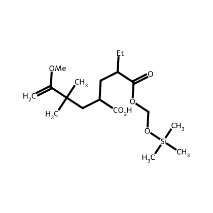 C=C(OC)C(C)(C)CC(CC(CC)C(=O)OCO[Si](C)(C)C)C(=O)O